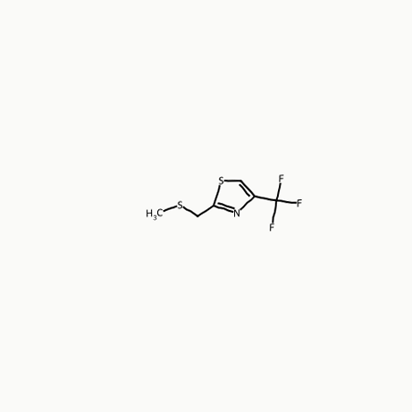 CSCc1nc(C(F)(F)F)cs1